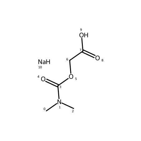 CN(C)C(=O)OCC(=O)O.[NaH]